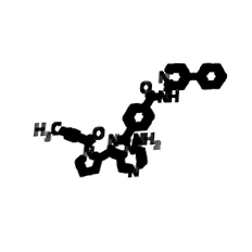 CC#CC(=O)N1CCCC1C1=C2C=NC=C[N+]2(N)C(c2ccc(C(=O)Nc3cc(-c4ccccc4)ccn3)cc2)=N1